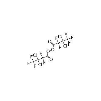 O=C(OOC(=O)C(F)(F)C(Cl)(Cl)C(F)(F)F)C(F)(F)C(Cl)(Cl)C(F)(F)F